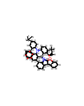 CC(C)(C)c1ccc(N2c3ccc4c(c3B3c5c(cc6ccccc6c52)-c2cccc5c6c7ccccc7oc6n3c25)-c2ccccc2C4(C)C)c(-c2ccccc2)c1